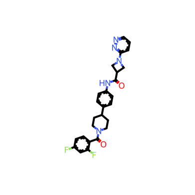 O=C(Nc1ccc(C2CCN(C(=O)c3ccc(F)cc3F)CC2)cc1)C1CN(c2cccnn2)C1